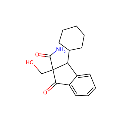 NC(=O)C1(CO)C(=O)c2ccccc2C1C1CCCCC1